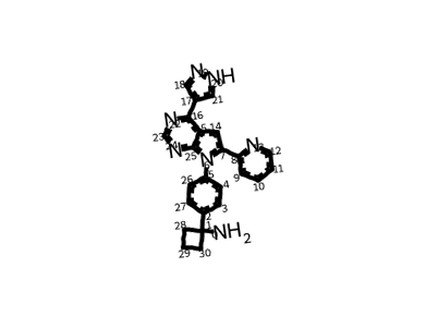 NC1(c2ccc(-n3c(-c4ccccn4)cc4c(-c5cn[nH]c5)ncnc43)cc2)CCC1